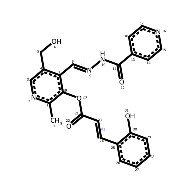 Cc1ncc(CO)c(/C=N/NC(=O)c2ccncc2)c1OC(=O)/C=C/c1ccccc1O